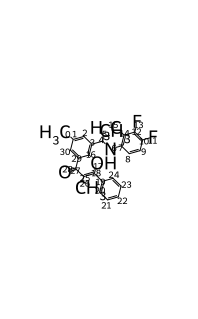 Cc1cc(C(C)Nc2ccc(F)c(F)c2C)c2oc(-c3ccccc3)c(C)c(=O)c2c1